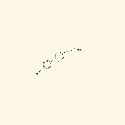 CC/C=C/[C@H]1CC[C@H](c2ccc(C#N)cc2)CC1